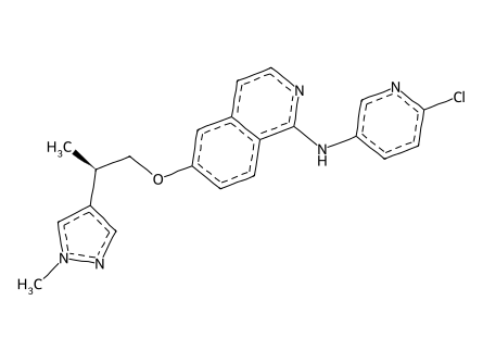 C[C@@H](COc1ccc2c(Nc3ccc(Cl)nc3)nccc2c1)c1cnn(C)c1